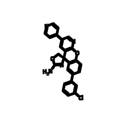 NC1=N[C@@]2(CO1)c1cc(-c3cccc(Cl)c3)ccc1Oc1ncc(-c3ccncc3)cc12